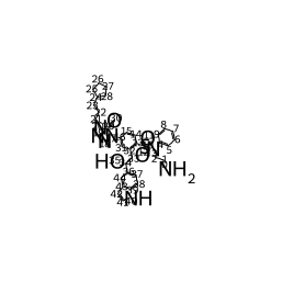 NCCN(c1ccccc1)S(=O)(=O)c1ccc(-n2nnn(CCCC3CCCC3)c2=O)cc1CC(O)c1ccc2[nH]ccc2c1